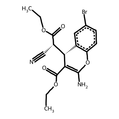 CCOC(=O)C1=C(N)Oc2ccc(Br)cc2[C@H]1[C@H](C#N)C(=O)OCC